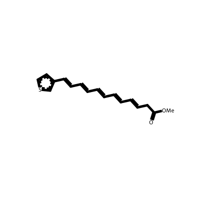 COC(=O)CC=CC=CC=CC=CC=Cc1ccsc1